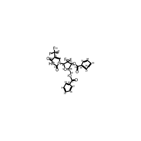 O=C(OC[C@H]1OC(n2cc(C(F)(F)F)c(=O)[nH]c2=O)C(F)(F)[C@@H]1OC(=O)c1ccccc1)c1ccccc1